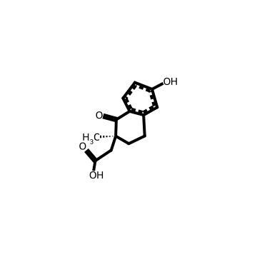 C[C@@]1(CC(=O)O)CCc2cc(O)ccc2C1=O